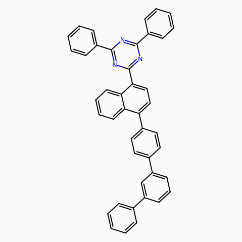 c1ccc(-c2cccc(-c3ccc(-c4ccc(-c5nc(-c6ccccc6)nc(-c6ccccc6)n5)c5ccccc45)cc3)c2)cc1